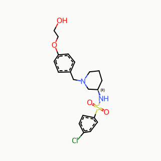 O=S(=O)(N[C@@H]1CCCN(Cc2ccc(OCCO)cc2)C1)c1ccc(Cl)cc1